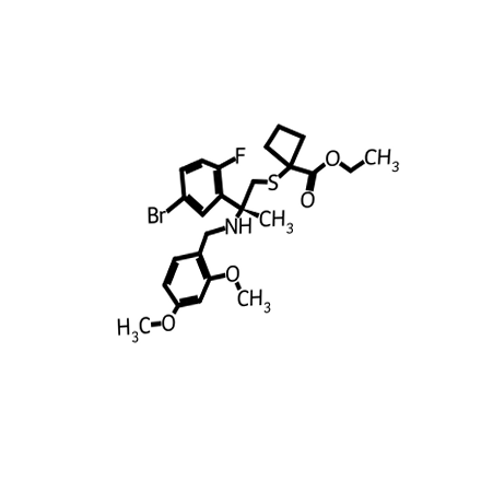 CCOC(=O)C1(SC[C@](C)(NCc2ccc(OC)cc2OC)c2cc(Br)ccc2F)CCC1